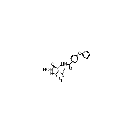 COCOC[C@H](C[C@H](CC(C)C)C(=O)NO)NC(=O)c1ccc(Oc2ccccc2)cc1